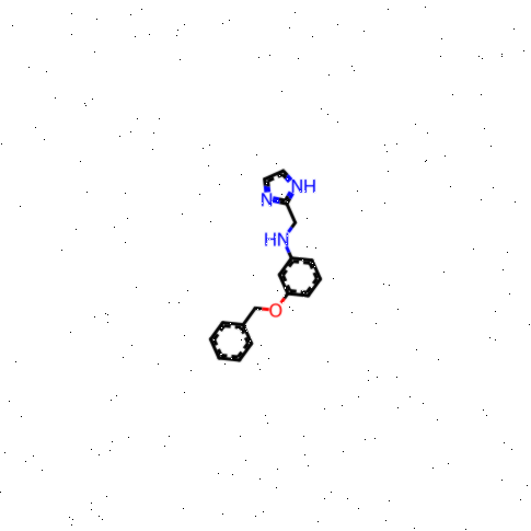 c1ccc(COc2cccc(NCc3ncc[nH]3)c2)cc1